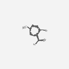 N#Cc1ccc(Br)c(C(Br)Br)c1